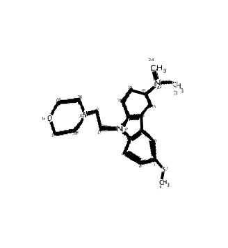 CSc1ccc2c(c1)c1c(n2CCN2CCOCC2)CCC(N(C)C)C1